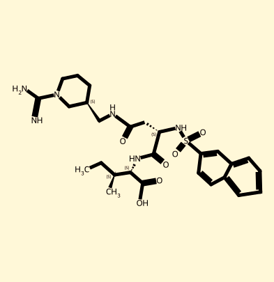 CC[C@H](C)[C@H](NC(=O)[C@H](CC(=O)NC[C@@H]1CCCN(C(=N)N)C1)NS(=O)(=O)c1ccc2ccccc2c1)C(=O)O